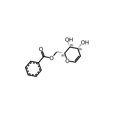 O=C(OC[C@H]1OC=C[C@@H](O)[C@H]1O)c1ccccc1